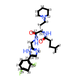 CC(C)CCC(=O)N[C@@H](CCN1CCCCC1)C(=O)NCc1ncc(-c2ccc(F)cc2F)[nH]1